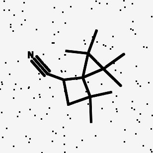 CC1(C)CC(C#N)C12C(C)(C)C2(C)C